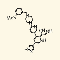 CSc1cccc(CN2CCN(c3ccc(C4=CC(c5cnn(C)c5)=CN/C4=C(/C#N)C=N)cn3)CC2)c1